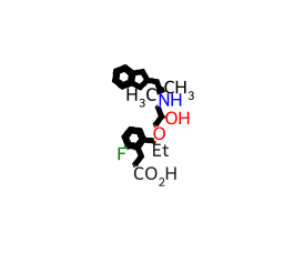 CC[C@@H](OC[C@H](O)CNC(C)(C)CC1Cc2ccccc2C1)c1cccc(F)c1CCC(=O)O